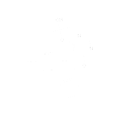 CCc1ccc(-c2c(-c3ccccc3)oc3ncnc(OC(C)(C)O)c23)cc1